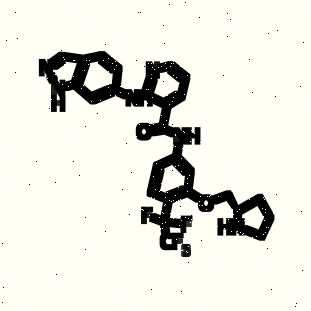 O=C(Nc1ccc(C(F)(F)C(F)(F)F)c(OC[C@H]2CCCN2)c1)c1cccnc1Nc1ccc2cn[nH]c2c1